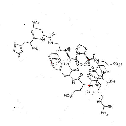 CSCC[C@H](NC(=O)[C@@H](N)Cc1c[nH]cn1)C(=O)NCC(=O)N[C@@H](Cc1ccccc1)C(=O)N1CCC[C@H]1C(=O)N[C@@H](CC(C)C)C(=O)N[C@@H](CCCNC(=N)N)C(=O)N[C@@H](CCC(=O)O)C(=O)N[C@@H](Cc1ccccc1)C(=O)N[C@@H](CC(C)C)C(=O)N1CCC[C@H]1C(=O)N[C@@H](CCC(=O)O)C(=O)N[C@H](C(=O)NCC(=O)O)[C@@H](C)O